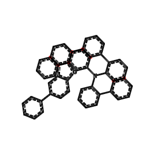 c1ccc(-c2cccc(N(c3ccccc3-c3ccccc3)c3ccccc3-c3cccc(-c4cccc5c4oc4ccc(-c6ccccc6)cc45)c3)c2)cc1